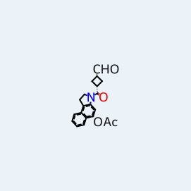 CC(=O)Oc1cc2c(c3ccccc13)CCN2C(=O)[C@H]1C[C@@H](C=O)C1